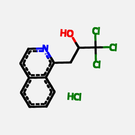 Cl.OC(Cc1nccc2ccccc12)C(Cl)(Cl)Cl